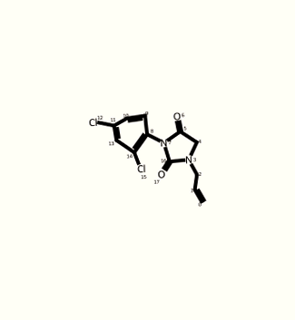 C=CCN1CC(=O)N(c2ccc(Cl)cc2Cl)C1=O